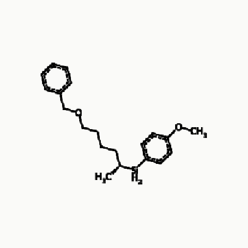 COc1ccc([SiH2][C@@H](C)CCCCOCc2ccccc2)cc1